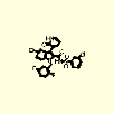 O=C(NS(=O)(=O)c1cccc(Cl)c1)c1c(-c2ccc[nH]c2=O)c2cc(Cl)ccc2n1Cc1cc(F)ccc1F